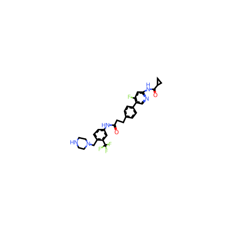 O=C(CCc1ccc(-c2cnc(NC(=O)C3CC3)cc2F)cc1)Nc1ccc(CN2CCNCC2)c(C(F)(F)F)c1